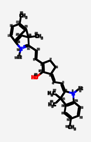 CCN1/C(=C/C=C2\CCC(/C=C/C3=[N+](CC)c4ccc(C)c5c4C35C)=C2O)C(C)(C)c2cc(C)ccc21